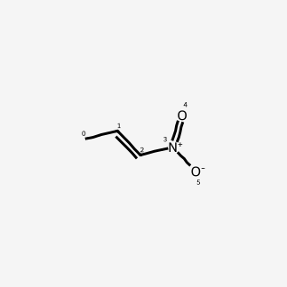 CC=C[N+](=O)[O-]